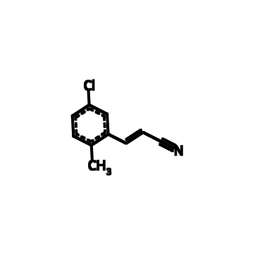 Cc1ccc(Cl)cc1C=CC#N